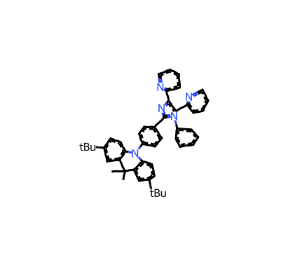 CC(C)(C)c1ccc2c(c1)C(C)(C)c1cc(C(C)(C)C)ccc1N2c1ccc(-c2nc(-c3ccccn3)c(-c3ccccn3)n2-c2ccccc2)cc1